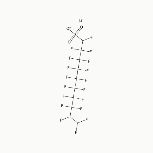 O=S(=O)([O-])C(F)C(F)(F)C(F)(F)C(F)(F)C(F)(F)C(F)(F)C(F)(F)C(F)(F)C(F)C(F)F.[Li+]